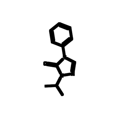 CC(C)n1ncn(-c2ccccc2)c1=O